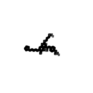 CCCCOc1nc(NCc2ccc(OC)cc2)c2[nH]c(=O)c(CCCCCN3CCCC3)cc2n1